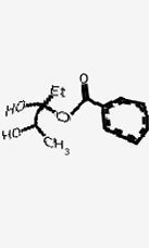 CCC(O)(OC(=O)c1ccccc1)C(C)O